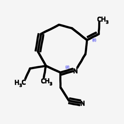 C/C=C1\CCC#CC(C)(CC)/C(CC#N)=N\C1